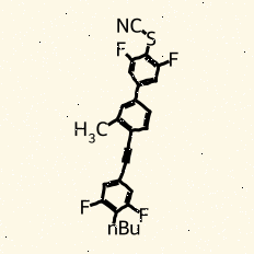 CCCCc1c(F)cc(C#Cc2ccc(-c3cc(F)c(SC#N)c(F)c3)cc2C)cc1F